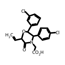 C=CC1OC(c2cccc(Cl)c2)C(c2ccc(Cl)cc2)N(CC(=O)O)C1=O